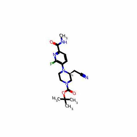 CNC(=O)c1ccc(N2CCN(C(=O)OC(C)(C)C)C[C@@H]2CC#N)c(F)n1